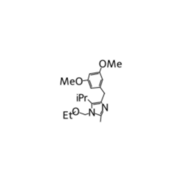 CCOCn1c(C)nc(Cc2cc(OC)cc(OC)c2)c1C(C)C